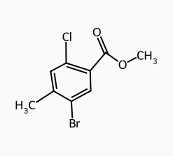 COC(=O)c1cc(Br)c(C)cc1Cl